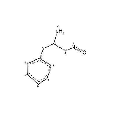 CC(CN=O)Cc1ccccc1